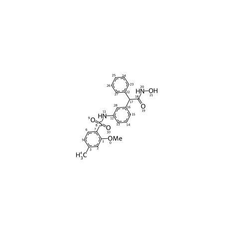 COc1cc(C)ccc1S(=O)(=O)Nc1cccc(C(C(=O)NO)c2ccccc2)c1